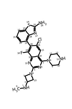 CNC1CN(c2nc(N3CCNCC3)c3cc(Cl)c(-c4cccc5sc(N)nc45)c(F)c3n2)C1